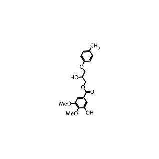 COc1cc(C(=O)OCC(O)COc2ccc(C)cc2)cc(O)c1OC